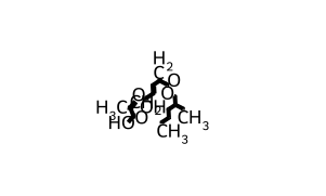 C=C(C)C(=O)O.C=C(C=CC(=O)O)C(=O)OCC(CC)CCCC